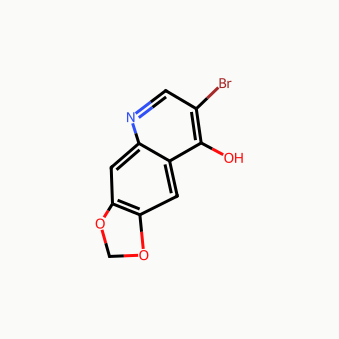 Oc1c(Br)cnc2cc3c(cc12)OCO3